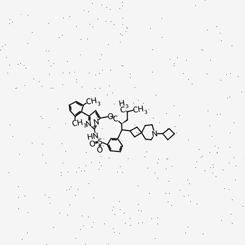 Cc1cccc(C)c1-c1cc2nc(n1)NS(=O)(=O)c1cccc(c1)C(C1CC3(CCN(C4CCC4)CC3)C1)[C@H](CC(C)C)CO2